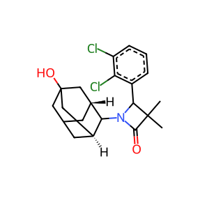 CC1(C)C(=O)N(C2[C@@H]3CC4C[C@H]2CC(O)(C4)C3)C1c1cccc(Cl)c1Cl